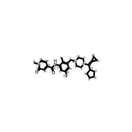 Cc1c(CN2CCN(C(=C3CC3)C3CCCC3)CC2)cc(F)cc1NC(=O)c1ccn(C)c(=O)c1